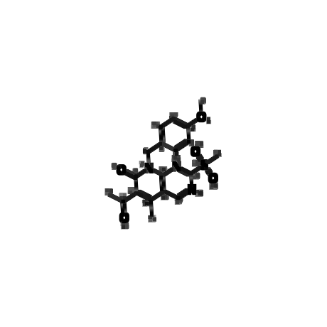 COc1ccc(Cn2c(=O)c(C(C)=O)c(C)c3cnc(S(C)(=O)=O)nc32)cc1